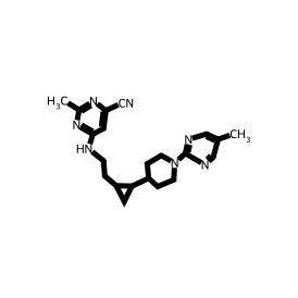 Cc1cnc(N2CCC(C3CC3CCNc3cc(C#N)nc(C)n3)CC2)nc1